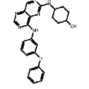 OC1CCC(Nc2ncc3ncnc(Nc4cccc(Oc5ccccc5)c4)c3n2)CC1